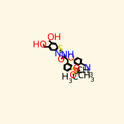 CC(C)(C)S(=O)(=O)c1cccc(C(Oc2ccc(C#N)cc2)C(=O)Nc2nc3cc(CO)c(CO)cc3s2)c1